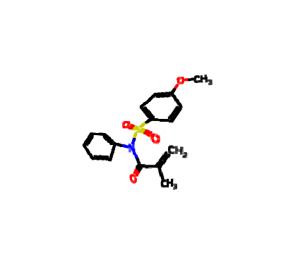 C=C(C)C(=O)N(c1ccccc1)S(=O)(=O)c1ccc(OC)cc1